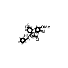 COc1ccc(N(C(=O)CCl)C2(C(=O)NCc3ccccc3)CCC(F)(F)CC2)cc1Cl